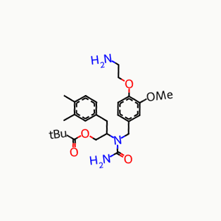 COc1cc(CN(C(N)=O)C(COC(=O)C(C)(C)C)Cc2ccc(C)c(C)c2)ccc1OCCN